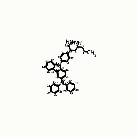 CCCC1CC(c2ccc(-n3c4ccccc4c4cc(N(c5ccccc5)c5ccccc5)ccc43)cc2)CNN1